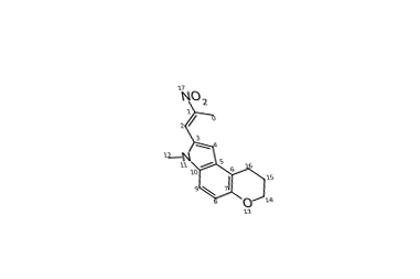 CC(=Cc1cc2c3c(ccc2n1C)OCCC3)[N+](=O)[O-]